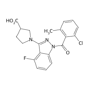 Cc1cccc(Cl)c1C(=O)n1nc(N2CCC(C(=O)O)C2)c2c(F)cccc21